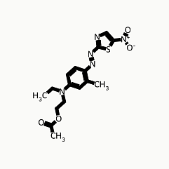 CCN(CCOC(C)=O)c1ccc(N=Nc2ncc([N+](=O)[O-])s2)c(C)c1